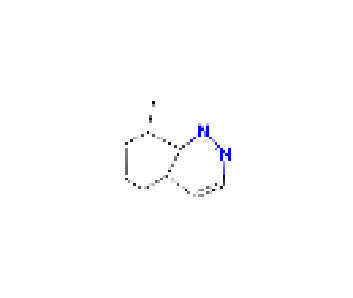 CC1C=CCC2C=CN=NC12